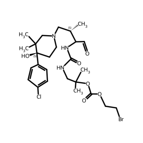 C[C@@H](CN1CC[C@](O)(c2ccc(Cl)cc2)C(C)(C)C1)C(C=O)NC(=O)NCC(C)(C)OC(=O)OCCBr